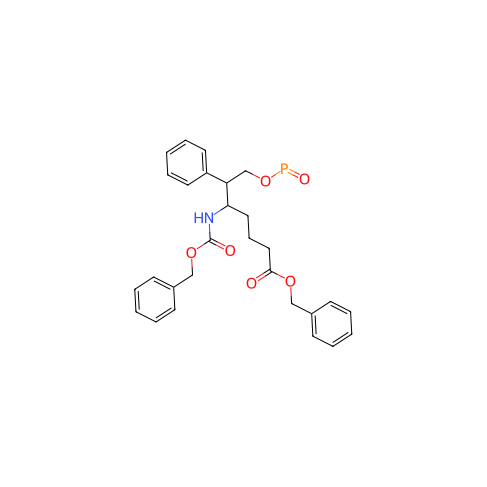 O=POCC(c1ccccc1)C(CCCC(=O)OCc1ccccc1)NC(=O)OCc1ccccc1